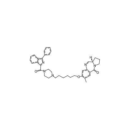 Cc1cc2c(cc1OCCCCCCN1CCN(C(=O)c3nc(-c4ccccc4)n4ccccc34)CC1)N=C[C@@H]1CCCN1C2=O